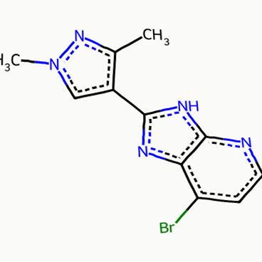 Cc1nn(C)cc1-c1nc2c(Br)ccnc2[nH]1